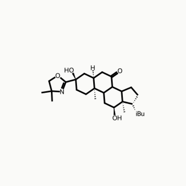 CC[C@@H](C)[C@H]1CCC2C3C(=O)C[C@@H]4C[C@@](O)(C5=NC(C)(C)CO5)CC[C@]4(C)C3C[C@H](O)[C@@]21C